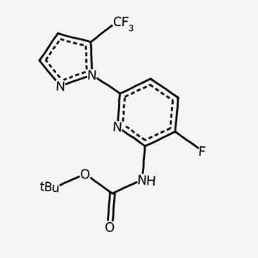 CC(C)(C)OC(=O)Nc1nc(-n2nccc2C(F)(F)F)ccc1F